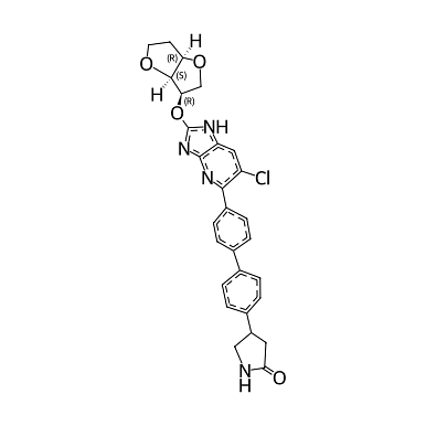 O=C1CC(c2ccc(-c3ccc(-c4nc5nc(O[C@@H]6CO[C@@H]7CCO[C@@H]76)[nH]c5cc4Cl)cc3)cc2)CN1